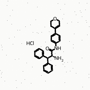 Cl.N[C@H](C(=O)Nc1ccc(C2=CCOCC2)cc1)C(c1ccccc1)c1ccccc1